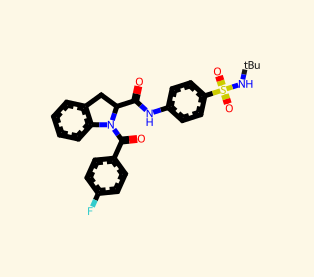 CC(C)(C)NS(=O)(=O)c1ccc(NC(=O)C2Cc3ccccc3N2C(=O)c2ccc(F)cc2)cc1